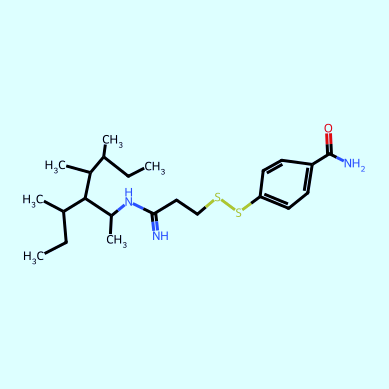 CCC(C)C(C)C(C(C)CC)C(C)NC(=N)CCSSc1ccc(C(N)=O)cc1